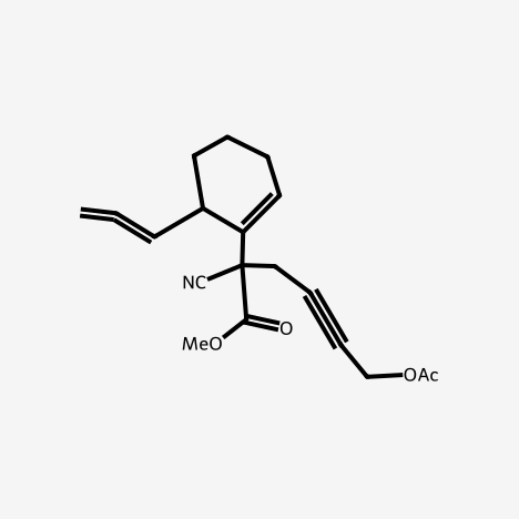 C=C=CC1CCCC=C1C(C#N)(CC#CCOC(C)=O)C(=O)OC